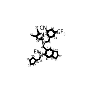 [C-]#[N+]c1cc(CN(Cc2cc3c(cc2N(CC)CC2CCCC2)CCC3)c2nc(C)c(C)s2)cc(C(F)(F)F)c1